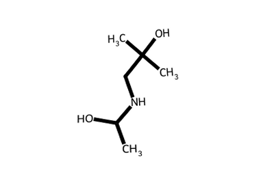 CC(O)NCC(C)(C)O